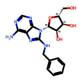 Nc1ncnc2c1nc(NCc1ccccc1)n2[C@@H]1O[C@H](CO)[C@@H](O)[C@H]1O